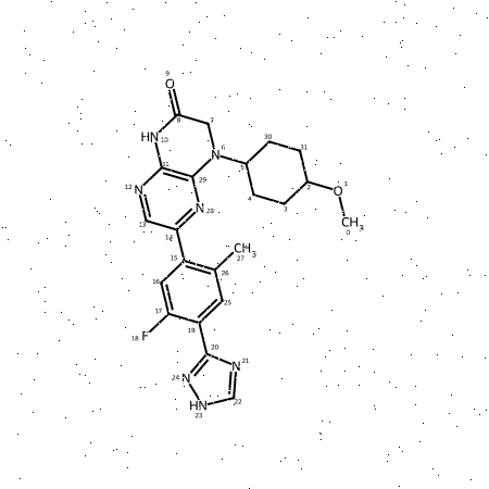 COC1CCC(N2CC(=O)Nc3ncc(-c4cc(F)c(-c5nc[nH]n5)cc4C)nc32)CC1